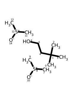 CC(C)(C)CCO.C[S+](C)[O-].C[S+](C)[O-]